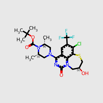 C[C@@H]1CN(c2nc(=O)n3c4c(c(Cl)c(C(F)(F)F)cc24)SC[C@@H](O)C3)C[C@H](C)N1C(=O)OC(C)(C)C